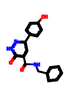 O=C(NCc1ccccc1)c1cc(-c2ccc(O)cc2)n[nH]c1=O